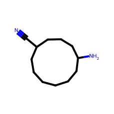 N#CC1CCCCCCC(N)CCC1